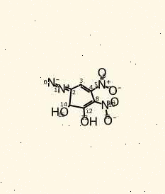 [N-]=[N+]=C1C=C([N+](=O)[O-])C([N+](=O)[O-])=C(O)C1O